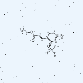 CCOC(=O)/C=C/c1ccc(Br)cc1OC(F)(F)F